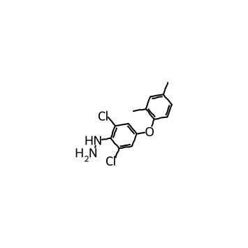 Cc1ccc(Oc2cc(Cl)c(NN)c(Cl)c2)c(C)c1